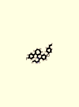 C=Cc1ccc(Oc2ccc(C(/C=C\CC)=C\C3=CC=CCC=C3c3ccc(F)cc3)cc2)cc1